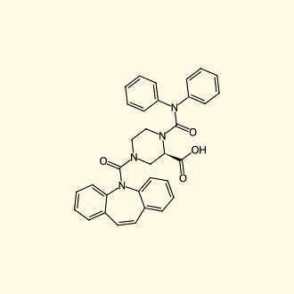 O=C(O)[C@H]1CN(C(=O)N2c3ccccc3C=Cc3ccccc32)CCN1C(=O)N(c1ccccc1)c1ccccc1